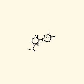 CC(C)c1ccnc(N2CCN(C)[C@H](C)C2)n1